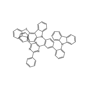 c1ccc(-c2nc(-c3ccccc3)nc(-c3cc(-c4ccccc4-n4c5ccccc5c5ccccc54)ccc3-n3c4ccccc4c4c5sc6ccccc6c5ccc43)n2)cc1